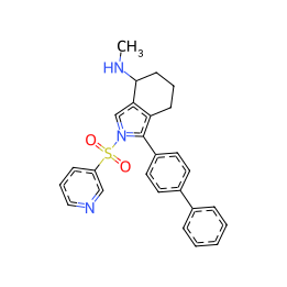 CNC1CCCc2c1cn(S(=O)(=O)c1cccnc1)c2-c1ccc(-c2ccccc2)cc1